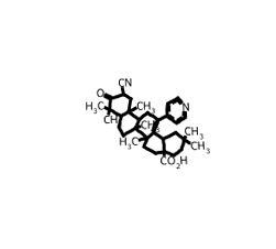 CC1(C)CCC2(C(=O)O)CCC3(C)C(=C(c4ccncc4)CC4C5(C)CC(C#N)C(=O)C(C)(C)C5CCC43C)C2C1